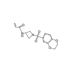 C=CC(=O)NC1CN(S(=O)(=O)c2ccc3c(c2)OCCO3)C1